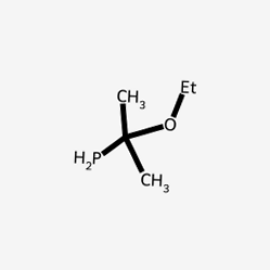 CCOC(C)(C)P